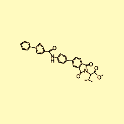 COC(=O)C(C(C)C)N1C(=O)c2ccc(-c3ccc(NC(=O)c4ccc(-c5ccccc5)cc4)cc3)cc2C1=O